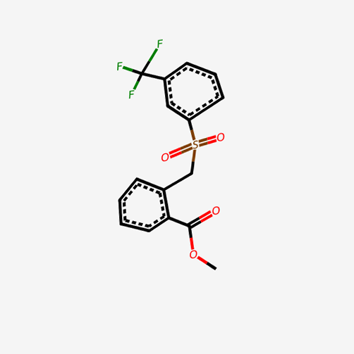 COC(=O)c1ccccc1CS(=O)(=O)c1cccc(C(F)(F)F)c1